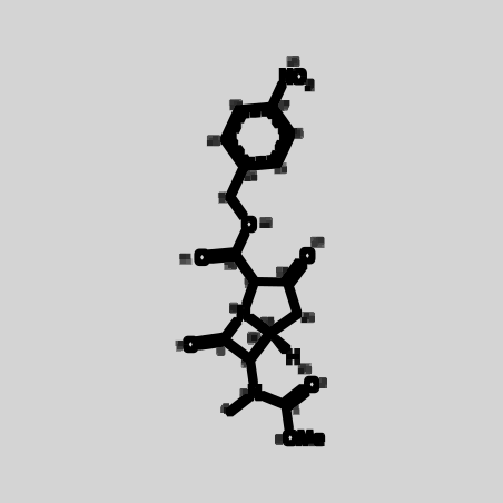 COC(=O)N(C)C1C(=O)N2C(C(=O)OCc3ccc([N+](=O)[O-])cc3)C(=O)C[C@H]12